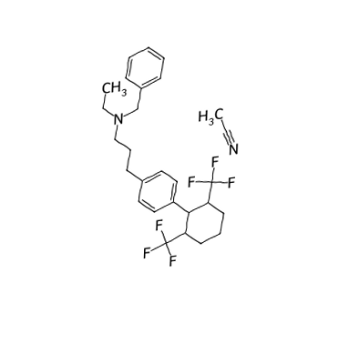 CC#N.CCN(CCCc1ccc(C2C(C(F)(F)F)CCCC2C(F)(F)F)cc1)Cc1ccccc1